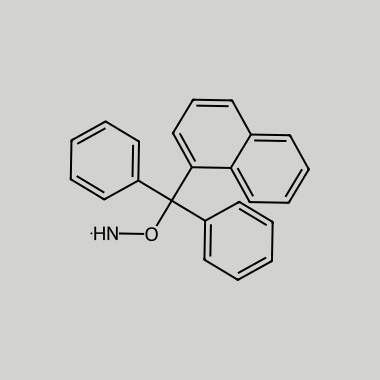 [NH]OC(c1ccccc1)(c1ccccc1)c1cccc2ccccc12